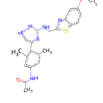 COc1ccc2sc(CNc3nncc(-c4c(C)cc(NC(C)=O)cc4C)n3)nc2c1